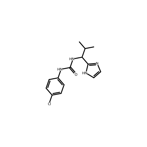 CC(C)C(NC(=O)Nc1ccc(Cl)cc1)c1ncc[nH]1